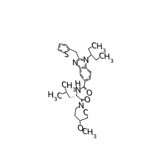 CCC(CC)n1c(Cc2cccs2)nc2cc(C(=O)N[C@@H](CC(C)C)C(=O)N3CCC(OC)CC3)ccc21